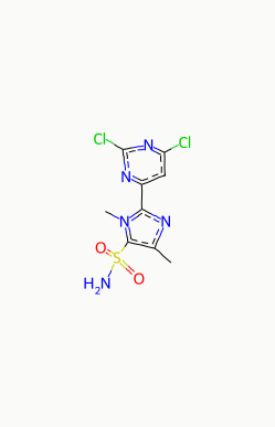 Cc1nc(-c2cc(Cl)nc(Cl)n2)n(C)c1S(N)(=O)=O